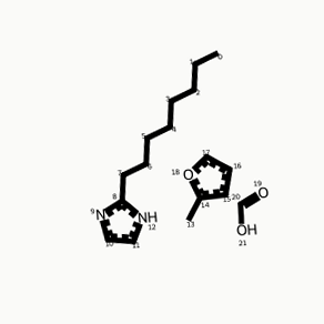 CCCCCCCCc1ncc[nH]1.Cc1ccco1.O=CO